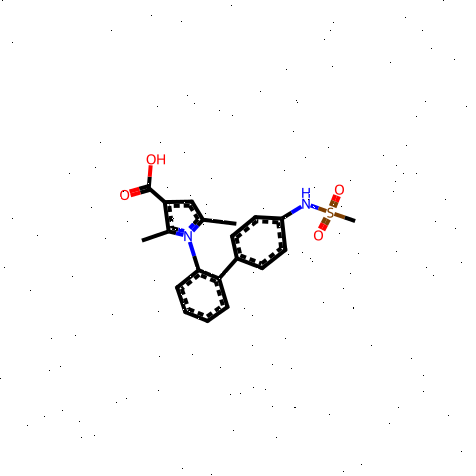 Cc1cc(C(=O)O)c(C)n1-c1ccccc1-c1ccc(NS(C)(=O)=O)cc1